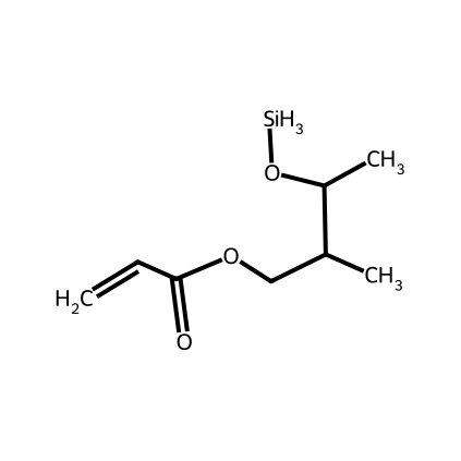 C=CC(=O)OCC(C)C(C)O[SiH3]